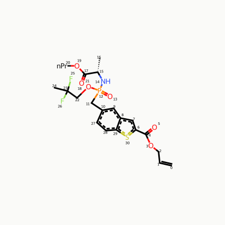 C=CCOC(=O)c1cc2cc(CP(=O)(N[C@@H](C)C(=O)OCCC)OCC(C)(F)F)ccc2s1